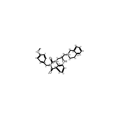 COc1ccc(Cn2c(=O)c3ccccc3n(CC(O)CN3CCc4ccccc4C3)c2=O)cc1